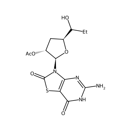 CCC(O)[C@@H]1C[C@@H](OC(C)=O)[C@H](n2c(=O)sc3c(=O)[nH]c(N)nc32)O1